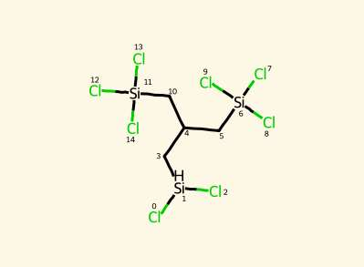 Cl[SiH](Cl)CC(C[Si](Cl)(Cl)Cl)C[Si](Cl)(Cl)Cl